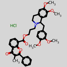 COc1ccc(CC2c3cc(OC)c(OC)cc3CCN2CCCOC(=O)c2cccc3c(=O)c(C)c(-c4ccccc4)oc23)cc1OC.Cl